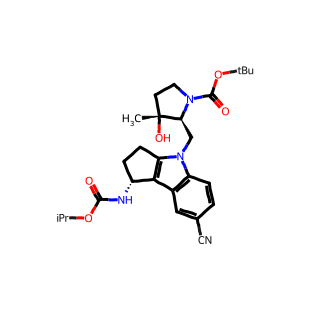 CC(C)OC(=O)N[C@@H]1CCc2c1c1cc(C#N)ccc1n2C[C@@H]1N(C(=O)OC(C)(C)C)CC[C@@]1(C)O